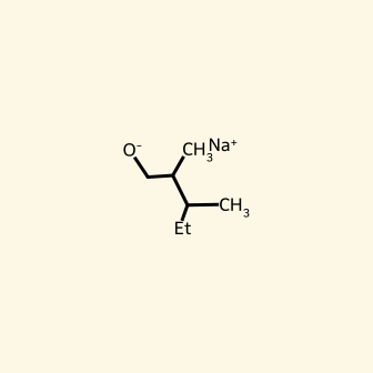 CCC(C)C(C)C[O-].[Na+]